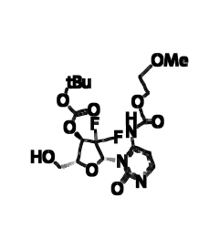 COCCOC(=O)Nc1ccnc(=O)n1[C@@H]1O[C@H](CO)[C@@H](OC(=O)OC(C)(C)C)C1(F)F